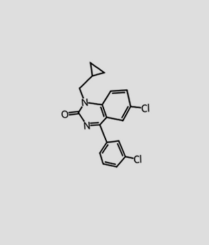 O=c1nc(-c2cccc(Cl)c2)c2cc(Cl)ccc2n1CC1CC1